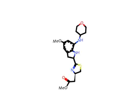 COC(=O)C[C@@H]1CSC(C2Cc3cc(OC)cc(NC4CCOCC4)c3N2)=N1